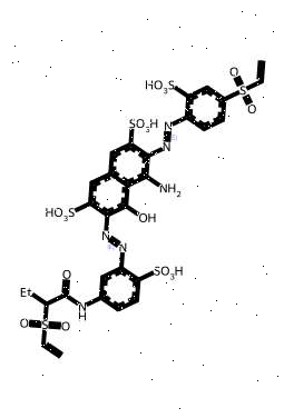 C=CS(=O)(=O)c1ccc(/N=N/c2c(S(=O)(=O)O)cc3cc(S(=O)(=O)O)c(/N=N/c4cc(NC(=O)C(CC)S(=O)(=O)C=C)ccc4S(=O)(=O)O)c(O)c3c2N)c(S(=O)(=O)O)c1